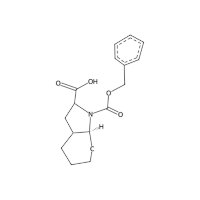 O=C(O)C1CC2CCCC[C@@H]2N1C(=O)OCc1ccccc1